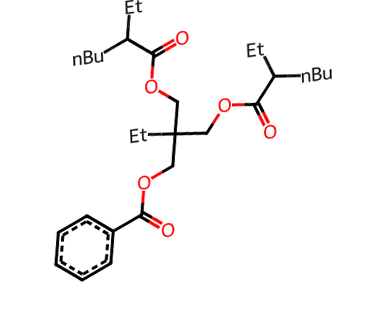 CCCCC(CC)C(=O)OCC(CC)(COC(=O)c1ccccc1)COC(=O)C(CC)CCCC